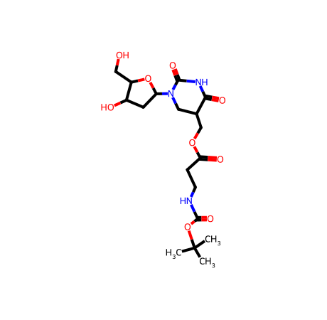 CC(C)(C)OC(=O)NCCC(=O)OCC1CN(C2CC(O)C(CO)O2)C(=O)NC1=O